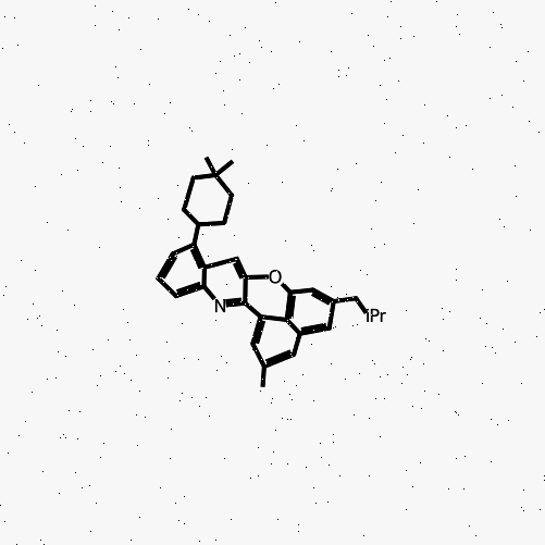 Cc1cc2c3c(cc(CC(C)C)cc3c1)Oc1cc3c(C4CCC(C)(C)CC4)cccc3nc1-2